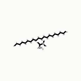 CC(N)N(C)C.CCCCCCCCCCCCCCCCCCCC